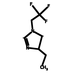 CCC1[CH]N(CC(F)(F)F)[C]=N1